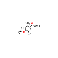 COC(=O)c1cc([N+](=O)[O-])c(OC2(C(C)=O)CC2)cc1C